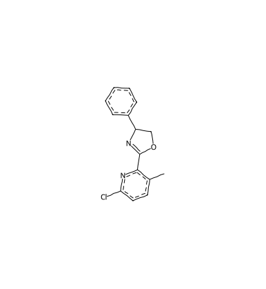 Cc1ccc(Cl)nc1C1=NC(c2ccccc2)CO1